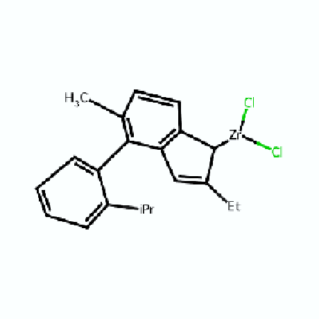 CCC1=Cc2c(ccc(C)c2-c2ccccc2C(C)C)[CH]1[Zr]([Cl])[Cl]